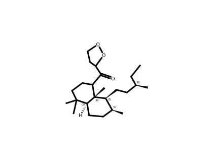 CC[C@@H](C)CC[C@H]1[C@@H](C)CC[C@H]2C(C)(C)CCC(C(=O)C3CCOO3)[C@]12C